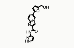 O=C(Nc1cc[nH]n1)c1cn2cc(-c3ccc(CO)o3)ccc2n1